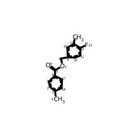 Cc1ccc(C(=O)OCc2ccc(F)c(C)c2)cc1